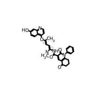 C=N/C(=C\C=C(/C)Oc1ccnc2cc(O)ccc12)NC(=O)c1cc2c(n(-c3ccccc3)c1=O)CCCC2=O